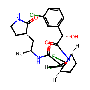 N#C[C@@H](C[C@H]1CCNC1=O)NC(=O)[C@H]1[C@@H]2CC[C@@H](CC2(F)F)N1C(=O)[C@@H](O)c1cccc(Cl)c1